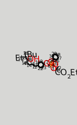 CCOC(=O)[C@H](C)OP(=O)(COc1ccc(/C=C/C[C@@H](C)[C@@H](O)[C@@H](CC)C(C)(C)C)cc1)Oc1ccccc1